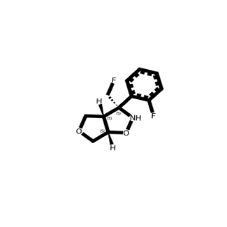 FC[C@]1(c2ccccc2F)NO[C@@H]2COC[C@@H]21